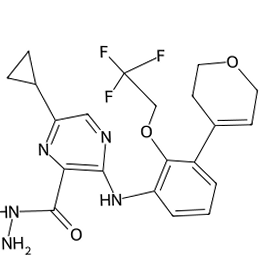 NNC(=O)c1nc(C2CC2)cnc1Nc1cccc(C2=CCOCC2)c1OCC(F)(F)F